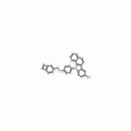 Brc1ccc2c(c1)c1ccc3ccccc3c1n2-c1ccc(OCc2ccc3c(c2)C=C3)cc1